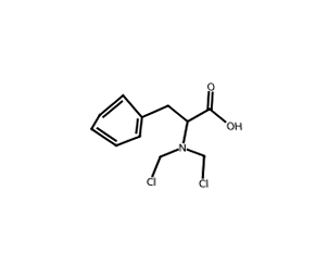 O=C(O)C(Cc1ccccc1)N(CCl)CCl